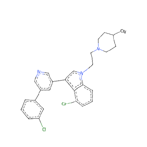 N#CC1CCN(CCn2cc(-c3cncc(-c4cccc(Cl)c4)c3)c3c(Cl)cccc32)CC1